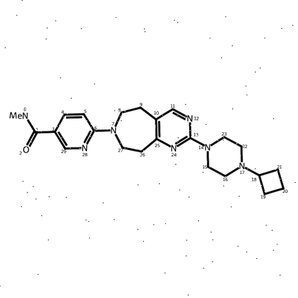 CNC(=O)c1ccc(N2CCc3cnc(N4CCN(C5CCC5)CC4)nc3CC2)nc1